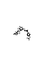 Cc1ncc(CNc2cc(OCC3C[C@H]3c3ccc(OC(F)F)cn3)nn(C)c2=O)s1